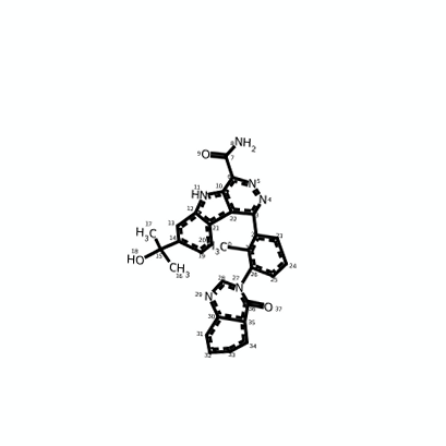 Cc1c(-c2nnc(C(N)=O)c3[nH]c4cc(C(C)(C)O)ccc4c23)cccc1-n1cnc2ccccc2c1=O